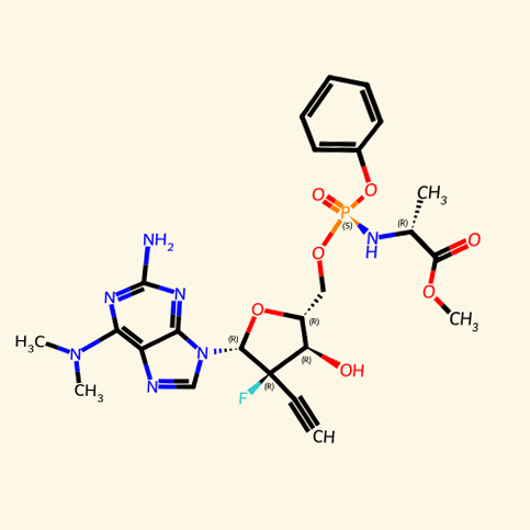 C#C[C@@]1(F)[C@H](O)[C@@H](CO[P@@](=O)(N[C@H](C)C(=O)OC)Oc2ccccc2)O[C@H]1n1cnc2c(N(C)C)nc(N)nc21